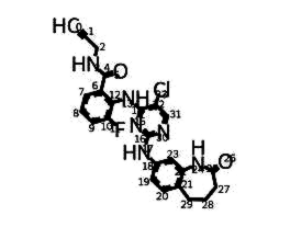 C#CCNC(=O)c1cccc(F)c1Nc1nc(Nc2ccc3c(c2)NC(=O)CCC3)ncc1Cl